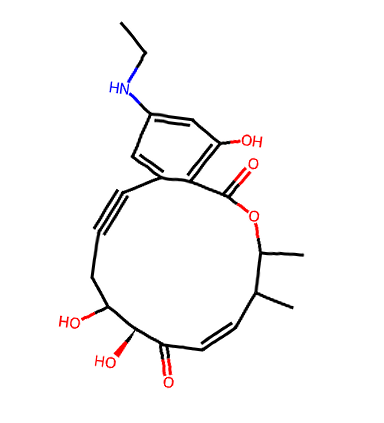 CCNc1cc(O)c2c(c1)C#CCC(O)[C@H](O)C(=O)/C=C\C(C)C(C)OC2=O